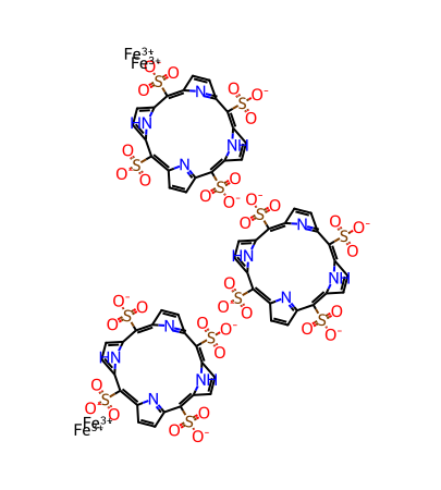 O=S(=O)([O-])c1c2nc(c(S(=O)(=O)[O-])c3ccc([nH]3)c(S(=O)(=O)[O-])c3nc(c(S(=O)(=O)[O-])c4ccc1[nH]4)C=C3)C=C2.O=S(=O)([O-])c1c2nc(c(S(=O)(=O)[O-])c3ccc([nH]3)c(S(=O)(=O)[O-])c3nc(c(S(=O)(=O)[O-])c4ccc1[nH]4)C=C3)C=C2.O=S(=O)([O-])c1c2nc(c(S(=O)(=O)[O-])c3ccc([nH]3)c(S(=O)(=O)[O-])c3nc(c(S(=O)(=O)[O-])c4ccc1[nH]4)C=C3)C=C2.[Fe+3].[Fe+3].[Fe+3].[Fe+3]